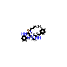 CCCCc1nc2c(s1)Nc1ccccc1N=C2N1CCN[C@@H](CCc2ccccc2)C1